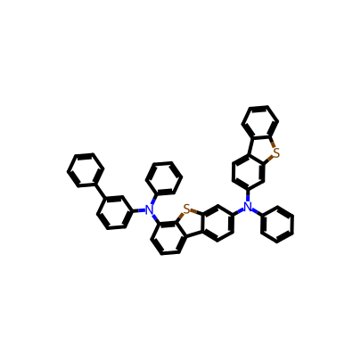 c1ccc(-c2cccc(N(c3ccccc3)c3cccc4c3sc3cc(N(c5ccccc5)c5ccc6c(c5)sc5ccccc56)ccc34)c2)cc1